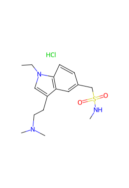 CCn1cc(CCN(C)C)c2cc(CS(=O)(=O)NC)ccc21.Cl